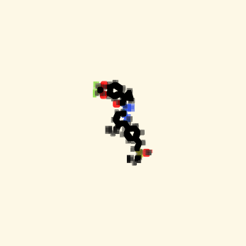 Cc1ccc(NC(=O)C2(c3ccc4c(c3)OC(F)(F)O4)CC2)nc1-c1ccc(CC[S+](C)[O-])cc1